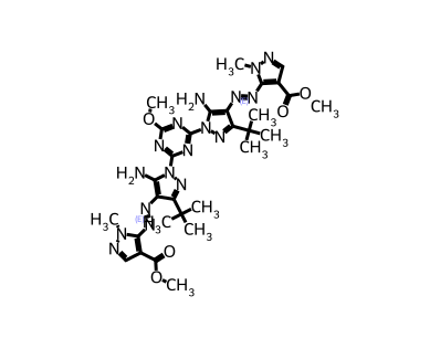 COC(=O)c1cnn(C)c1/N=N/c1c(C(C)(C)C)nn(-c2nc(OC)nc(-n3nc(C(C)(C)C)c(/N=N/c4c(C(=O)OC)cnn4C)c3N)n2)c1N